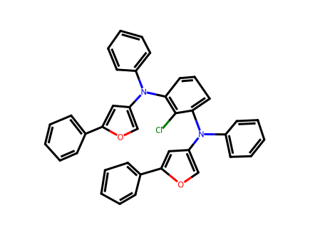 Clc1c(N(c2ccccc2)c2coc(-c3ccccc3)c2)cccc1N(c1ccccc1)c1coc(-c2ccccc2)c1